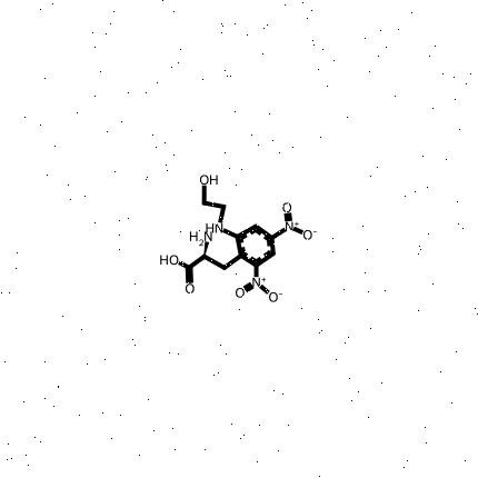 N[C@@H](Cc1c(NCCO)cc([N+](=O)[O-])cc1[N+](=O)[O-])C(=O)O